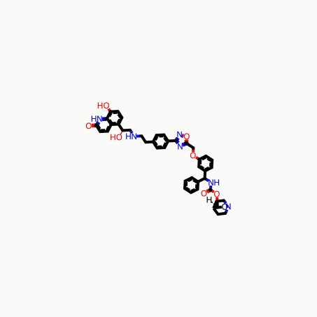 O=C(NC(c1ccccc1)c1cccc(OCc2nc(-c3ccc(CCNC[C@H](O)c4ccc(O)c5[nH]c(=O)ccc45)cc3)no2)c1)O[C@H]1CN2CCC1CC2